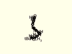 Cc1cc(-c2ncnc3[nH]c(-c4ccc(N5CCN(CC6CCN(c7ccc(N8CCC(=O)NC8=O)c(F)c7)CC6)CC5)nc4)cc23)ccc1C(C)NC(=O)c1nc(C(C)(C)C)no1